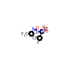 CN(C(=O)N(C)[C@@H]1CN(S(C)(=O)=O)C[C@H]1c1ccc(F)cc1)c1cc(C(F)(F)F)cc(C(F)(F)F)c1